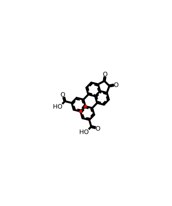 O=C(O)c1cccc(-c2ccc3c4c(ccc(-c5cccc(C(=O)O)c5)c24)C(=O)C3=O)c1